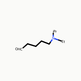 CCN(CCCCC=O)C(C)C